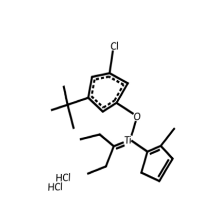 CC[C](CC)=[Ti]([O]c1cc(Cl)cc(C(C)(C)C)c1)[C]1=C(C)C=CC1.Cl.Cl